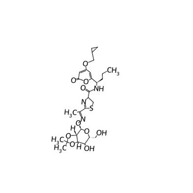 CCC[C@@H](NC(=O)C1CSC(/C(C)=N/O[C@H]2O[C@H](CO)[C@@H](O)[C@@H]3OC(C)(C)O[C@H]23)=N1)c1cc(OCC2CC2)cc(=O)o1